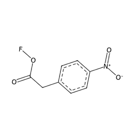 O=C(Cc1ccc([N+](=O)[O-])cc1)OF